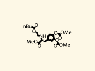 CCCCC(=O)OCCN[C@@H](Cc1ccc(OC(=O)OC)c(OC(=O)OC)c1)C(=O)OC